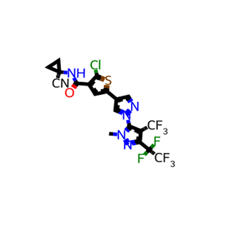 Cn1nc(C(F)(F)C(F)(F)F)c(C(F)(F)F)c1-n1cc(-c2cc(C(=O)NC3(C#N)CC3)c(Cl)s2)cn1